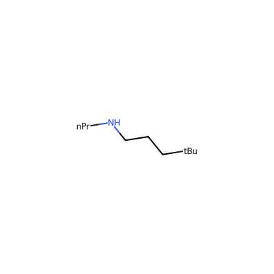 CCCNCCCC(C)(C)C